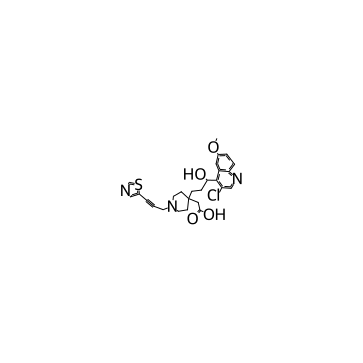 COc1ccc2ncc(Cl)c(C(O)CCC3(CC(=O)O)CCN(CC#Cc4cncs4)CC3)c2c1